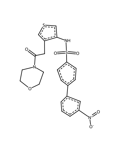 O=C(Cc1cscc1NS(=O)(=O)c1ccc(-c2cccc([N+](=O)[O-])c2)cc1)N1CCOCC1